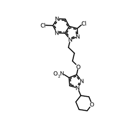 O=[N+]([O-])c1cn(C2CCCOC2)nc1OCCCn1nc(Cl)c2cnc(Cl)nc21